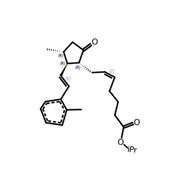 Cc1ccccc1/C=C/[C@H]1[C@H](C)CC(=O)[C@@H]1C/C=C\CCCC(=O)OC(C)C